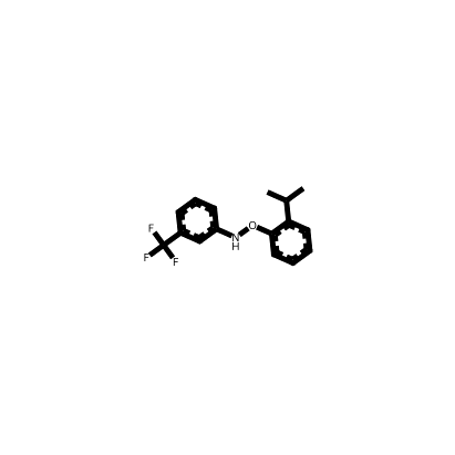 CC(C)c1ccccc1ONc1cccc(C(F)(F)F)c1